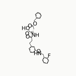 O=C(CCc1cccc(ONCc2ccccc2F)c1)N[C@@H](CC(=O)OCc1ccccc1)C(=O)O